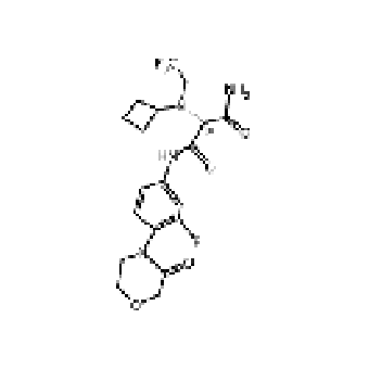 NC(=O)[C@H](C(=O)Nc1ccc(N2CCOCC2=O)c(F)c1)N(CC(F)(F)F)C1CCC1